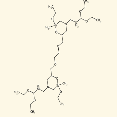 CCOC(OCC)[SiH2]CN1CC(COCCOCC2CN(C[SiH2]C(OCC)OCC)C[Si](C)(OCC)O2)O[Si](C)(OCC)C1